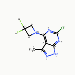 Cc1n[nH]c2nc(Cl)nc(N3CC(F)(F)C3)c12